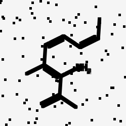 C=C(C)/C(N)=C(C)/C=C\C=C/C